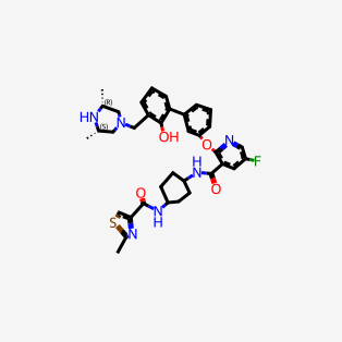 Cc1nc(C(=O)NC2CCC(NC(=O)c3cc(F)cnc3Oc3cccc(-c4cccc(CN5C[C@@H](C)N[C@@H](C)C5)c4O)c3)CC2)cs1